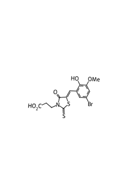 COc1cc(Br)cc(/C=C2\SC(=S)N(CCC(=O)O)C2=O)c1O